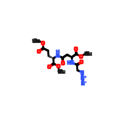 CC(C)(C)OC(=O)CC[C@H](NC(=O)C[C@H](NC(=O)CN=[N+]=[N-])C(=O)OC(C)(C)C)C(=O)OC(C)(C)C